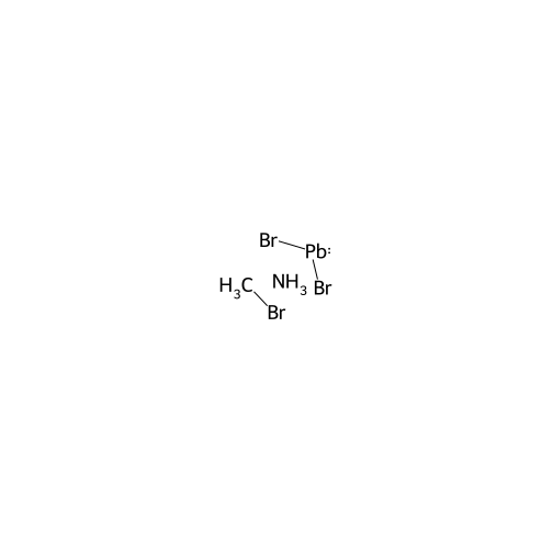 CBr.N.[Br][Pb][Br]